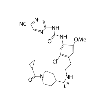 COc1cc(CCN[C@@H](C)C2CCN(C(=O)C3CC3)CC2)c(Cl)cc1NC(=O)Nc1cnc(C#N)cn1